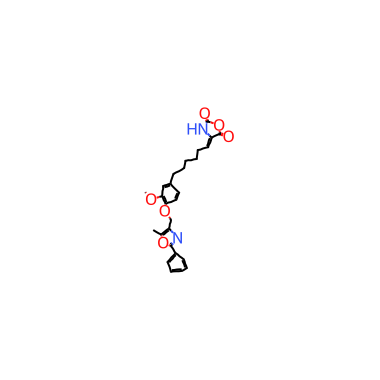 COc1cc(CCCCCC=C2NC(=O)OC2=O)ccc1OCc1nc(-c2ccccc2)oc1C